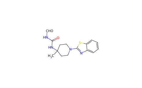 CC1(NC(=O)NC=O)CCN(c2nc3ccccc3s2)CC1